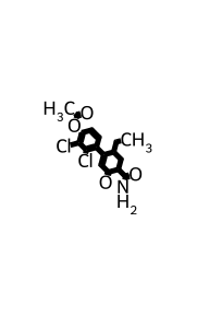 CCC1CC(C(N)=O)C(=O)C=C1c1ccc(OC(C)=O)c(Cl)c1Cl